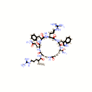 CC(=O)N[C@@H](CCCNC(=N)N)C(=O)NC1CCNC(=O)CCCC(C(N)=O)NC(=O)[C@H](Cc2c[nH]c3ccccc23)NC(=O)[C@H](CCCNC(=N)N)NC(=O)C(Cc2ccccc2)NC(=O)[C@H](CCC(N)=O)NC1=O